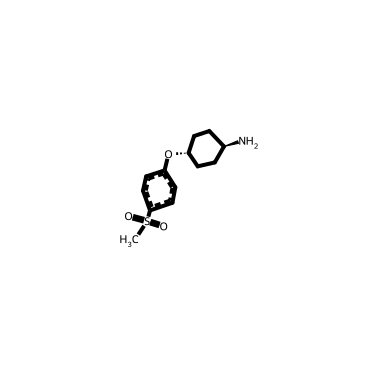 CS(=O)(=O)c1ccc(O[C@H]2CC[C@H](N)CC2)cc1